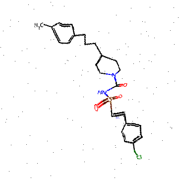 Cc1ccc(CCCC2CCN(C(=O)NS(=O)(=O)/C=C/c3ccc(Cl)cc3)CC2)cc1